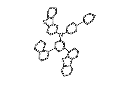 c1ccc(-c2ccc(N(c3cc(-c4cccc5ccccc45)cc(-c4cccc5c4sc4ccccc45)c3)c3ccc4sc5ccccc5c4c3)cc2)cc1